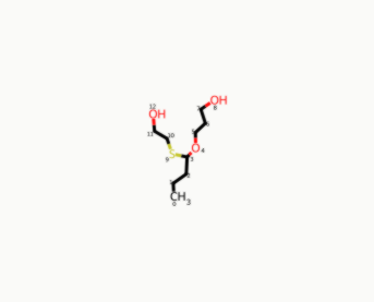 CCCC(OCCCO)SCCO